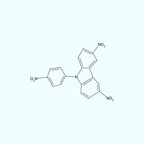 O=[N+]([O-])c1ccc(-n2c3ccc([N+](=O)[O-])cc3c3cc([N+](=O)[O-])ccc32)cc1